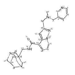 CN(Cc1cccnc1)Cc1cc2c(C(=O)NCC34CC5CC(CC(C5)C3)C4)cccn2n1